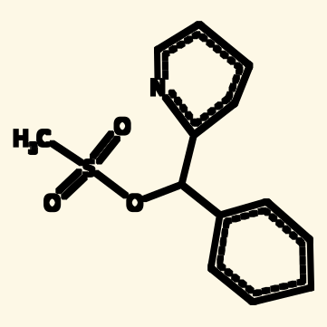 CS(=O)(=O)OC(c1ccccc1)c1ccccn1